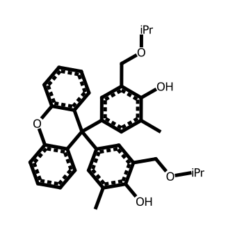 Cc1cc(C2(c3cc(C)c(O)c(COC(C)C)c3)c3ccccc3Oc3ccccc32)cc(COC(C)C)c1O